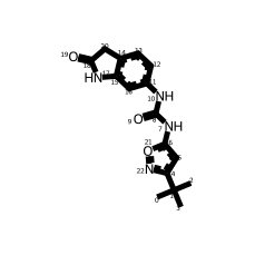 CC(C)(C)c1cc(NC(=O)Nc2ccc3c(c2)NC(=O)C3)on1